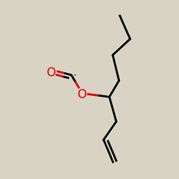 C=CCC(CCCC)O[C]=O